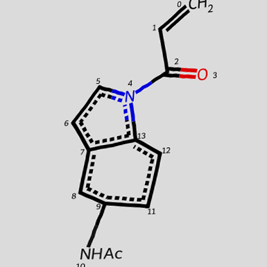 C=CC(=O)n1ccc2cc(NC(C)=O)ccc21